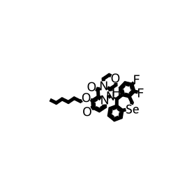 CCCCCCOc1c2n(ccc1=O)N([C@@H]1c3ccccc3[Se]Cc3c1ccc(F)c3F)[C@@H]1COCCN1C2=O